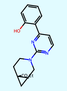 CCOC(=O)[C@@]12CCN(c3nccc(-c4ccccc4O)n3)CC1C2